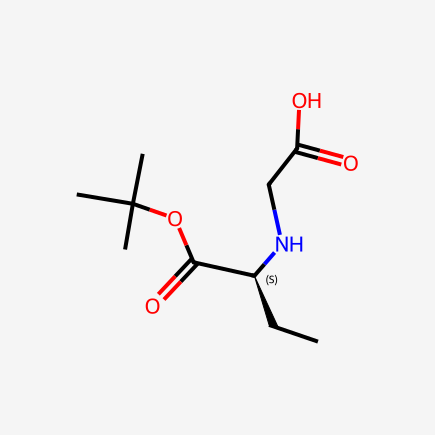 CC[C@H](NCC(=O)O)C(=O)OC(C)(C)C